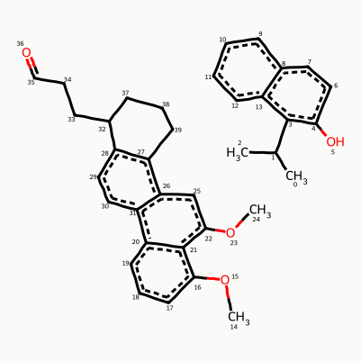 CC(C)c1c(O)ccc2ccccc12.COc1cccc2c1c(OC)cc1c3c(ccc12)C(CCC=O)CCC3